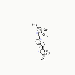 C=C1/C(=C\C=C2/CCC[C@@]3(C)C2CC[C@@H]3[C@H](C)/C=C\[C@@H](O)C2CC2)C[C@@H](O)C[C@@H]1O